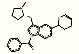 CN1CCC[C@H]1Cc1cn(C(=O)c2ccccc2)c2ccc(C3CCC=CO3)cc12